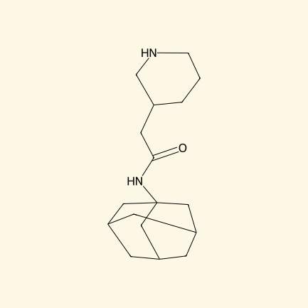 O=C(CC1CCCNC1)NC12CC3CC(CC(C3)C1)C2